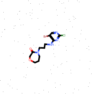 O=C1COCCCN1CCCNc1nc(Cl)ncc1Br